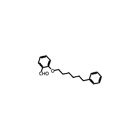 O=Cc1ccccc1OCCCCCCc1ccccc1